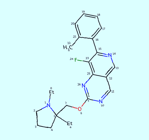 CCN1CCCC1(CC)COc1ncc2cnc(-c3ccccc3C)c(F)c2n1